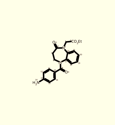 CCOC(=O)CN1C(=O)CCN(C(=O)c2ccc(N)cc2)c2ccccc21